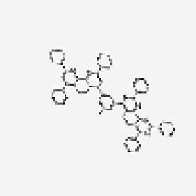 Cc1cc(-c2cc(-c3ccccc3)nc3c2ccc2c(-c4ccccc4)cc(-c4ccccc4)nc23)cc(-c2nc(-c3ccccc3)nc3c2ccc2c(-c4ccccc4)nc(-c4ccccc4)nc23)c1